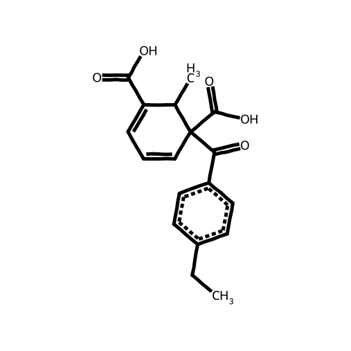 CCc1ccc(C(=O)C2(C(=O)O)C=CC=C(C(=O)O)C2C)cc1